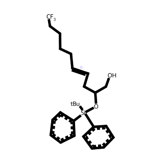 CC(C)(C)[Si](OC(CO)C/C=C/CCCCC(F)(F)F)(c1ccccc1)c1ccccc1